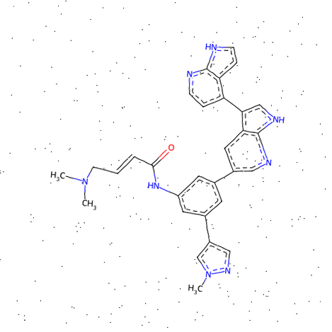 CN(C)C/C=C/C(=O)Nc1cc(-c2cnc3[nH]cc(-c4ccnc5[nH]ccc45)c3c2)cc(-c2cnn(C)c2)c1